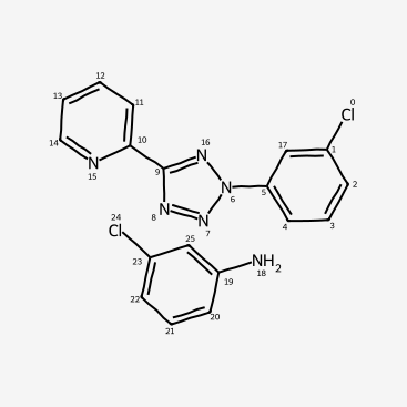 Clc1cccc(-n2nnc(-c3ccccn3)n2)c1.Nc1cccc(Cl)c1